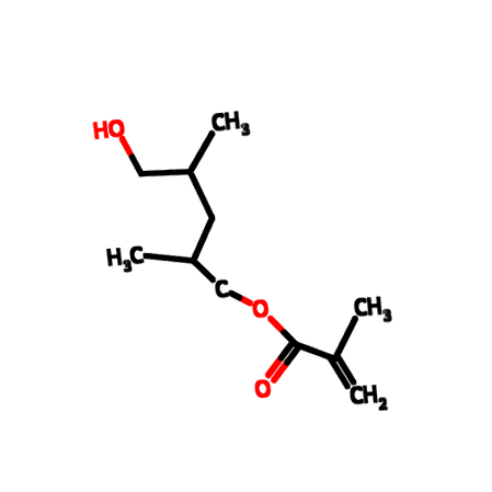 C=C(C)C(=O)OCC(C)CC(C)CO